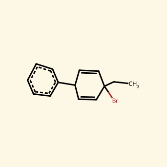 CCC1(Br)C=CC(c2ccccc2)C=C1